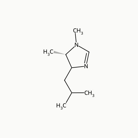 CC(C)CC1N=CN(C)[C@H]1C